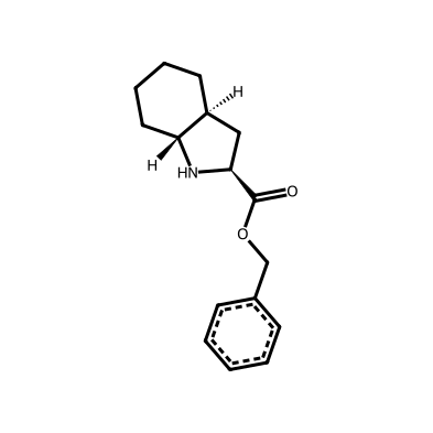 O=C(OCc1ccccc1)[C@@H]1C[C@@H]2CCCC[C@H]2N1